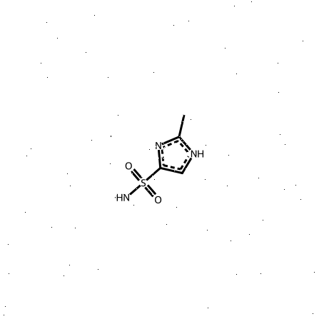 Cc1nc(S([NH])(=O)=O)c[nH]1